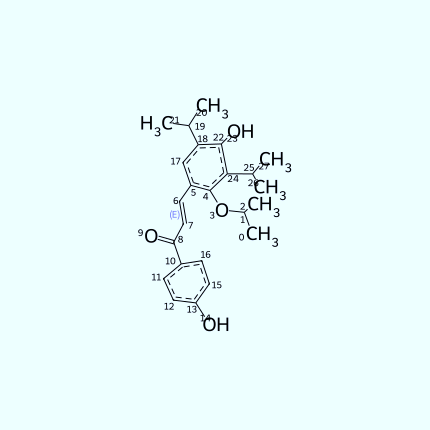 CC(C)Oc1c(/C=C/C(=O)c2ccc(O)cc2)cc(C(C)C)c(O)c1C(C)C